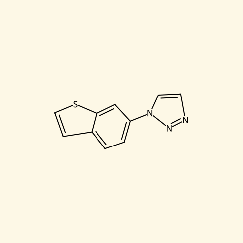 c1cn(-c2ccc3ccsc3c2)nn1